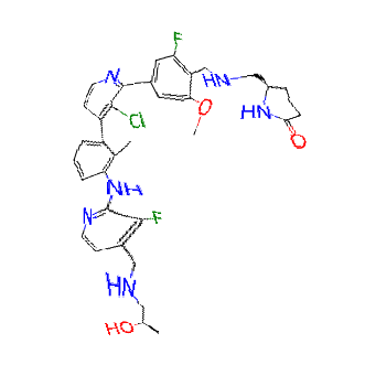 COc1cc(-c2nccc(-c3cccc(Nc4nccc(CNC[C@@H](C)O)c4F)c3C)c2Cl)cc(F)c1CNC[C@H]1CCC(=O)N1